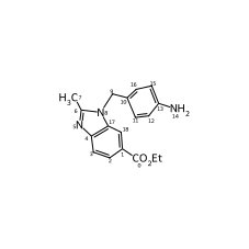 CCOC(=O)c1ccc2nc(C)n(Cc3ccc(N)cc3)c2c1